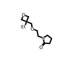 CCC1(COCCN2CCCC2=O)COC1